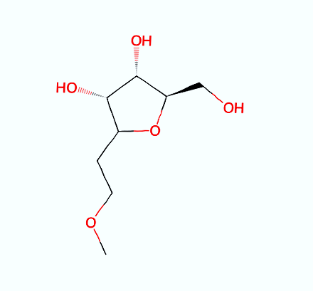 COCCC1O[C@H](CO)[C@@H](O)[C@H]1O